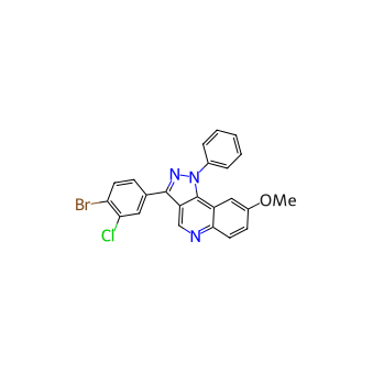 COc1ccc2ncc3c(-c4ccc(Br)c(Cl)c4)nn(-c4ccccc4)c3c2c1